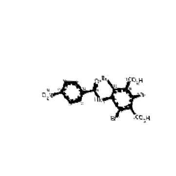 O=C(Nc1c(Br)c(C(=O)O)c(Br)c(C(=O)O)c1Br)c1ccc([N+](=O)[O-])cc1